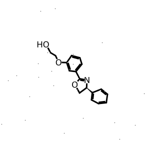 OCCOc1cccc(C2=N[C@@H](c3ccccc3)CO2)c1